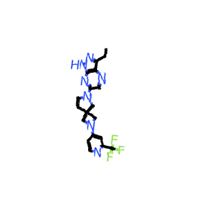 CCc1n[nH]c2nc(N3CCC4(CN(c5ccnc(C(F)(F)F)c5)C4)C3)cnc12